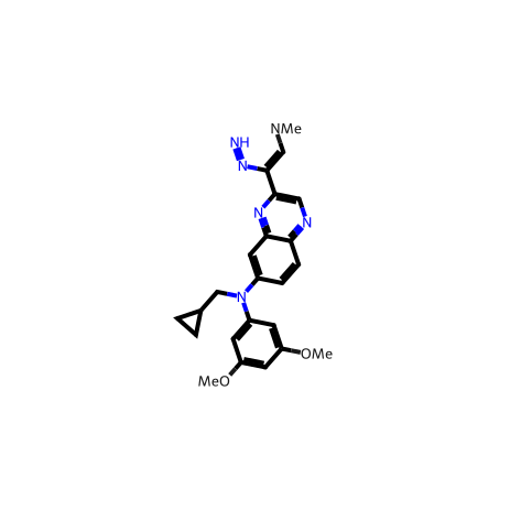 CN/C=C(\N=N)c1cnc2ccc(N(CC3CC3)c3cc(OC)cc(OC)c3)cc2n1